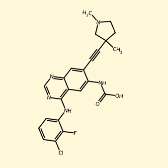 CN1CCC(C)(C#Cc2cc3ncnc(Nc4cccc(Cl)c4F)c3cc2NC(=O)O)C1